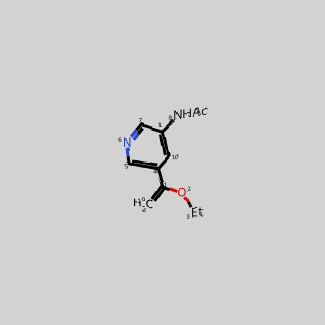 C=C(OCC)c1cncc(NC(C)=O)c1